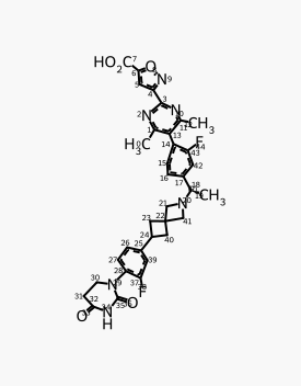 Cc1nc(-c2cc(C(=O)O)on2)nc(C)c1-c1ccc([C@@H](C)N2CC3(CC(c4ccc(N5CCC(=O)NC5=O)c(F)c4)C3)C2)cc1F